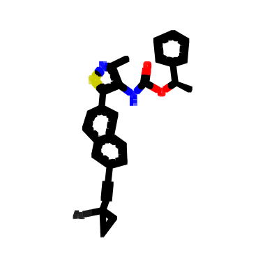 CC(=O)C1(C#Cc2ccc3cc(-c4snc(C)c4NC(=O)O[C@H](C)c4ccccc4)ccc3c2)CC1